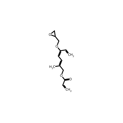 C=CC(=O)OC/C(C)=C/C=C(\C=C)OCC1CO1